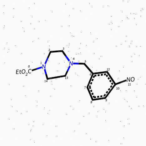 CCOC(=O)N1CCN(Cc2cccc(N=O)c2)CC1